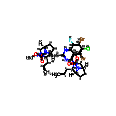 C=CC[C@@H]1[C@@H]2CC[C@H](CN1c1nc(SC)nc3c(F)c(Br)c(Cl)c(Br)c13)N2C(=O)OC(C)(C)C.C=CC[C@H]1NC[C@H]2CC[C@@H]1N2C(=O)OC(C)(C)C